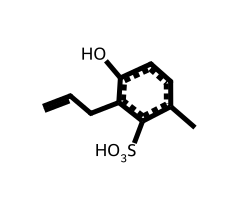 C=CCc1c(O)ccc(C)c1S(=O)(=O)O